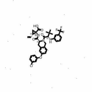 C=C[C@@H]1C[C@]1(NC(=O)[C@@H]1Cc2cc(Oc3cccc(Cl)c3)ccc2CN1C(=O)[C@@H](Nc1cccc(C(F)(F)F)c1)C(C)(C)C)C(=O)O